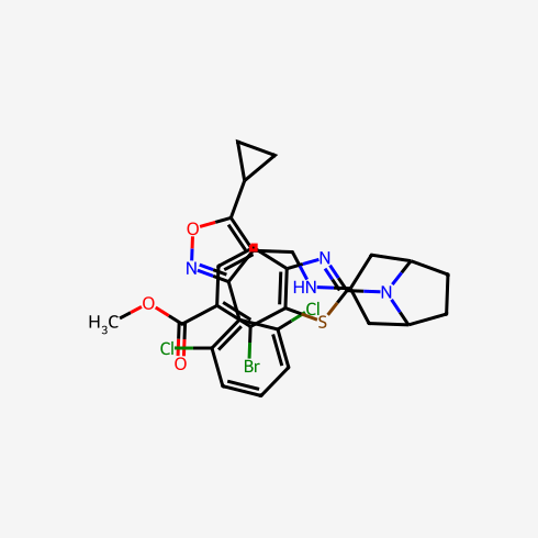 COC(=O)c1ccc2nc(N3C4CCC3CC(NCc3c(-c5c(Cl)cccc5Cl)noc3C3CC3)C4)sc2c1Br